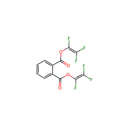 O=C(OC(F)=C(F)F)c1ccccc1C(=O)OC(F)=C(F)F